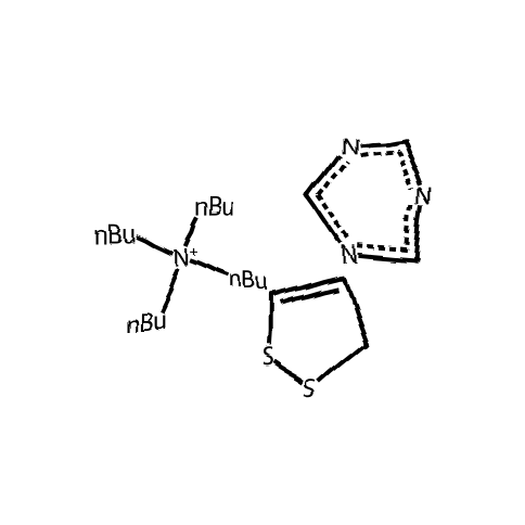 C1=CSSC1.CCCC[N+](CCCC)(CCCC)CCCC.c1ncncn1